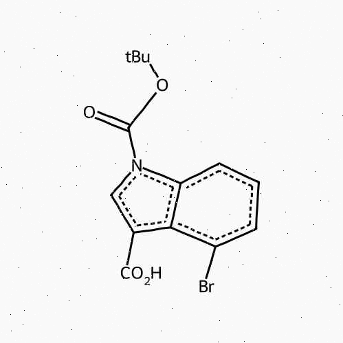 CC(C)(C)OC(=O)n1cc(C(=O)O)c2c(Br)cccc21